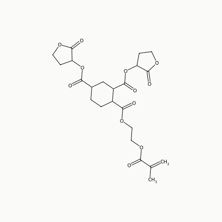 C=C(C)C(=O)OCCOC(=O)C1CCC(C(=O)OC2CCOC2=O)CC1C(=O)OC1CCOC1=O